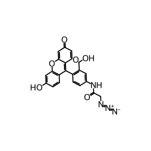 [N-]=[N+]=NCC(=O)Nc1ccc(-c2c3ccc(=O)cc-3oc3cc(O)ccc23)c(C(=O)O)c1